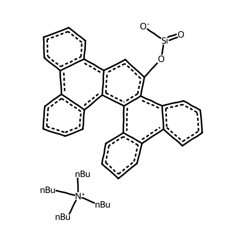 CCCC[N+](CCCC)(CCCC)CCCC.O=[Si]([O-])Oc1cc2c3ccccc3c3ccccc3c2c2c3ccccc3c3ccccc3c12